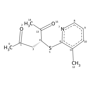 CC(=O)C[C@@H](Sc1ncccc1C)C(C)=O